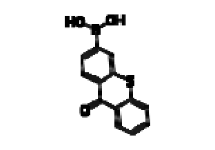 O=c1c2ccccc2sc2cc(B(O)O)ccc12